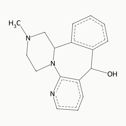 CN1CCN2c3ncccc3C(O)c3ccccc3C2C1